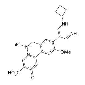 COc1cc2c(cc1/C(C=N)=C/NC1CCC1)CN(C(C)C)n1cc(C(=O)O)c(=O)cc1-2